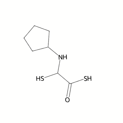 O=C(S)C(S)NC1CCCC1